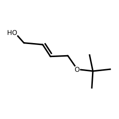 CC(C)(C)OCC=CCO